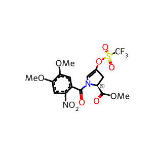 COC(=O)[C@@H]1CC(OS(=O)(=O)C(F)(F)F)=CN1C(=O)c1cc(OC)c(OC)cc1[N+](=O)[O-]